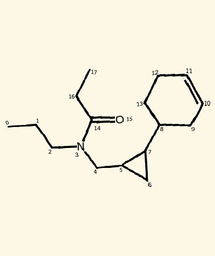 CCCN(CC1CC1C1CC=CCC1)C(=O)CC